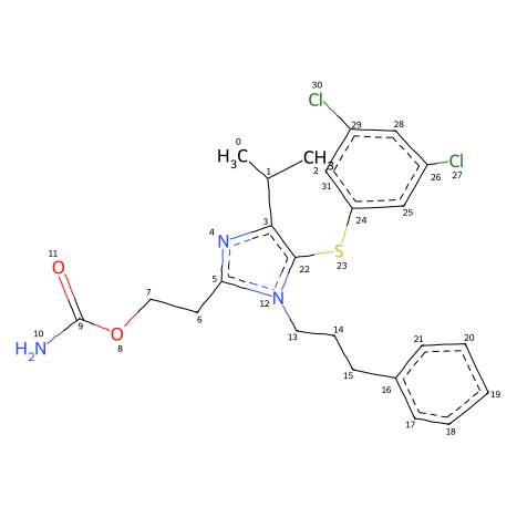 CC(C)c1nc(CCOC(N)=O)n(CCCc2ccccc2)c1Sc1cc(Cl)cc(Cl)c1